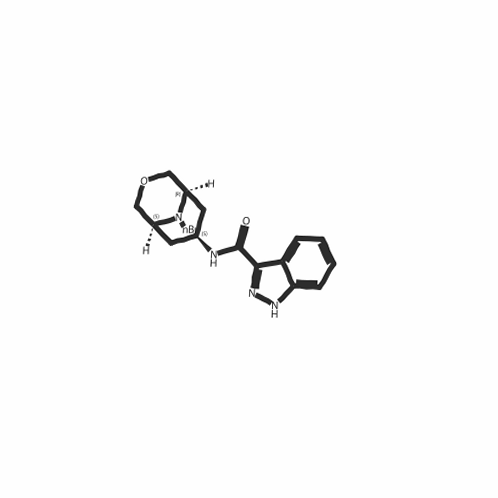 CCCCN1[C@@H]2COC[C@H]1C[C@@H](NC(=O)c1n[nH]c3ccccc13)C2